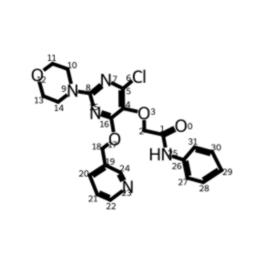 O=C(COc1c(Cl)nc(N2CCOCC2)nc1OCc1cccnc1)Nc1ccccc1